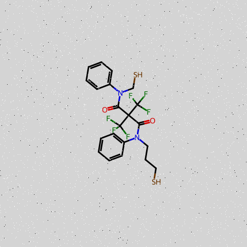 O=C(N(CS)c1ccccc1)C(C(=O)N(CCCS)c1ccccc1)(C(F)(F)F)C(F)(F)F